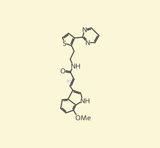 COc1cccc2c(/C=C/C(=O)NCCc3sccc3-c3ncccn3)c[nH]c12